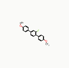 CCCOc1ccc(-c2ccc(-c3ccc(OC(F)(F)F)cc3)c(F)c2)cc1